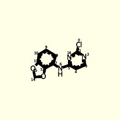 Clc1nccc(Nc2cccc3c2OCO3)n1